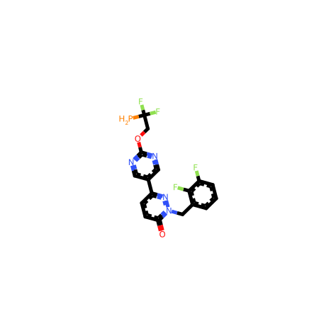 O=c1ccc(-c2cnc(OCC(F)(F)P)nc2)nn1Cc1cccc(F)c1F